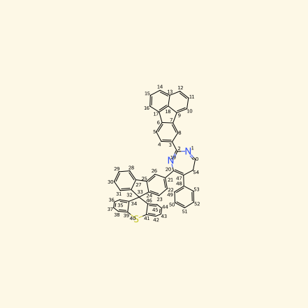 C1=NC(c2ccc3c(c2)-c2cccc4cccc-3c24)=NC(c2ccc3c(c2)-c2ccccc2C32c3ccccc3Sc3ccccc32)=C(c2ccccc2)C1